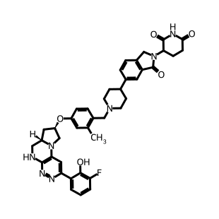 Cc1cc(O[C@@H]2C[C@H]3CNc4nnc(-c5cccc(F)c5O)cc4N3C2)ccc1CN1CCC(c2ccc3c(c2)C(=O)N(C2CCC(=O)NC2=O)C3)CC1